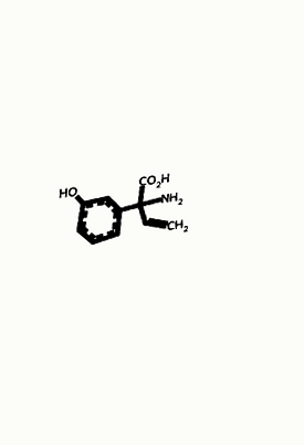 C=CC(N)(C(=O)O)c1cccc(O)c1